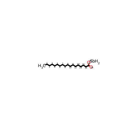 CCCCCCCCCCCCCCCCCC(=O)[O][SbH2]